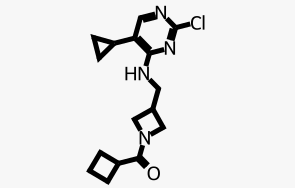 O=C(C1CCC1)N1CC(CNc2nc(Cl)ncc2C2CC2)C1